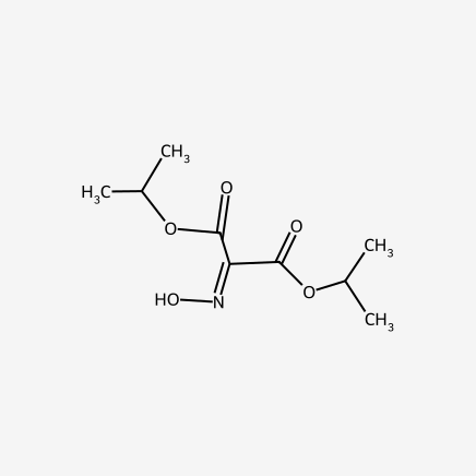 CC(C)OC(=O)C(=NO)C(=O)OC(C)C